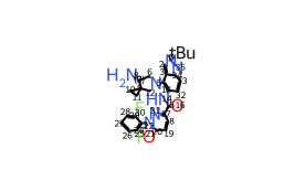 CC(C)(C)n1cc2c(N3C[C@H](N)C4(CC4)C3)c(NC(=O)c3ccc(=O)n(-c4c(F)cccc4F)n3)ccc2n1